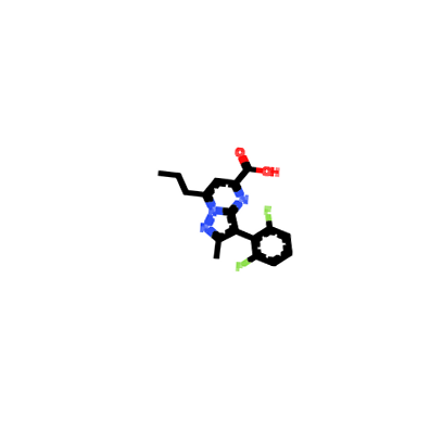 CCCc1cc(C(=O)O)nc2c(-c3c(F)cccc3F)c(C)nn12